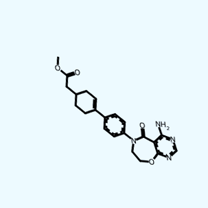 COC(=O)CC1CC=C(c2ccc(N3CCOc4ncnc(N)c4C3=O)cc2)CC1